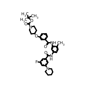 Cc1ccc(NC(=O)c2cc(F)cc(N3CCCCC3)c2)cc1NC(=O)c1cccc(OC2CCN(C(=O)OC(C)(C)C)CC2)c1